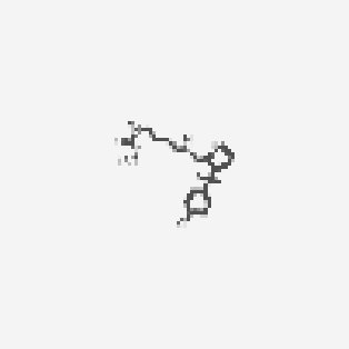 CN(CCCCNCc1ncccc1C(C)(C)c1ccc(Cl)cc1)C(=O)OC(C)(C)C